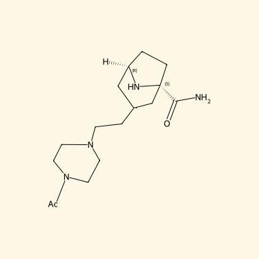 CC(=O)N1CCN(CC[C]2C[C@H]3CC[C@@](C(N)=O)(C2)N3)CC1